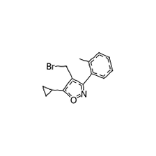 Cc1ccccc1-c1noc(C2CC2)c1CBr